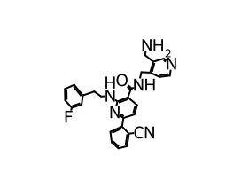 N#Cc1ccccc1-c1ccc(C(=O)NCc2ccncc2CN)c(NCCc2cccc(F)c2)n1